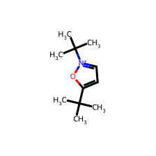 CC(C)(C)c1cc[n+](C(C)(C)C)o1